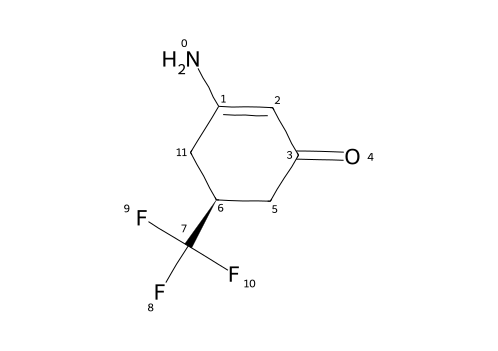 NC1=CC(=O)C[C@@H](C(F)(F)F)C1